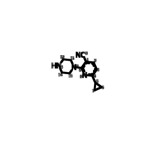 N#Cc1ccc(C2CC2)nc1N1CCNCC1